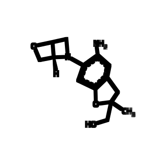 CC1(CO)Cc2cc(N)c(N3CC4OC[C@H]43)cc2O1